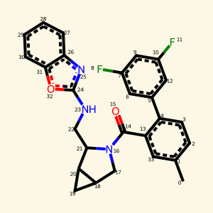 Cc1ccc(-c2cc(F)cc(F)c2)c(C(=O)N2CC3CC3C2CNc2nc3ccccc3o2)c1